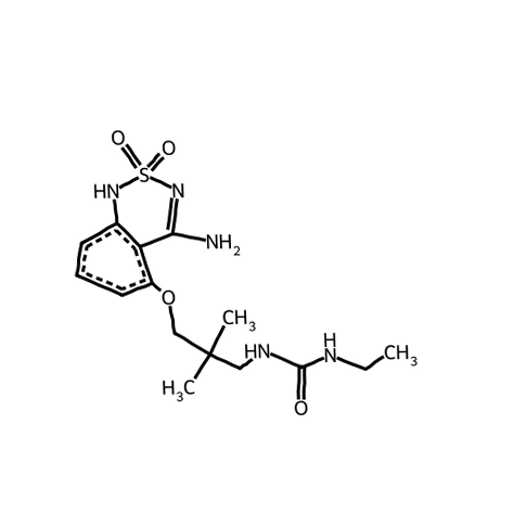 CCNC(=O)NCC(C)(C)COc1cccc2c1C(N)=NS(=O)(=O)N2